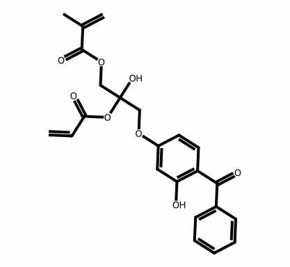 C=CC(=O)OC(O)(COC(=O)C(=C)C)COc1ccc(C(=O)c2ccccc2)c(O)c1